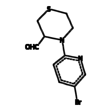 O=CC1CSCCN1c1ccc(Br)cn1